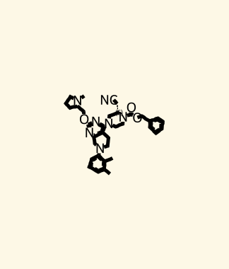 Cc1cccc(N2CCc3c(nc(OCC4CCCN4C)nc3N3CCN(C(=O)OCc4ccccc4)[C@@H](CC#N)C3)C2)c1C